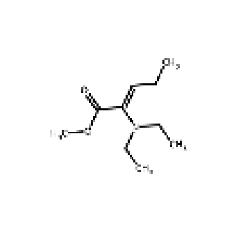 CCC=C(C(=O)OC)N(CC)CC